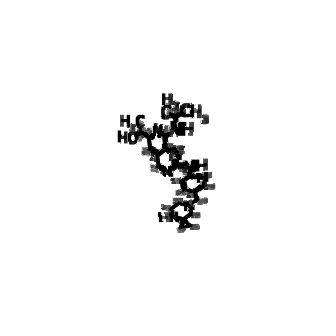 CC(C)Nc1nc([C@@H](C)O)cc2cnc(Nc3ccc(CN4CCNC5(CC5)C4)cn3)nc12